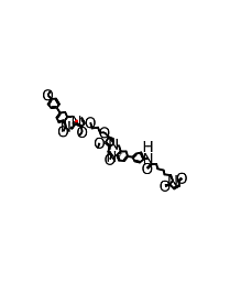 COc1ccc(C2=CC=C3C(C2)Cn2cc(OCCCOc4cn5c(c4OC)C=[N+]([O-])C4=CC=C(c6ccc(NC(=O)CCCCCN7C(=O)C=CC7=O)cc6)CC4C5)c(OC)c2C=[N+]3[O-])cc1